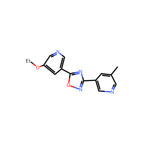 CCOc1cncc(-c2nc(-c3cncc(C)c3)no2)c1